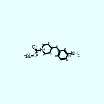 CC(C)(C)OC(=O)N1CCC(Cc2cccc(N)c2)CC1